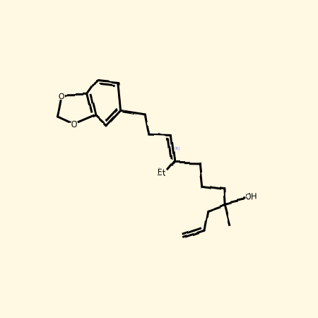 C=CCC(C)(O)CCC/C(=C/CCc1ccc2c(c1)OCO2)CC